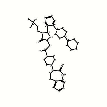 CC(C)(C)CCN1C(=O)C(CC(=O)N2CCC(N3CCc4ccccc4NC3=O)CC2)SC1c1ccccc1N1CCC(N2CCCCC2)CC1